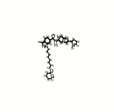 Cc1nn(CCCCCCCCOC2CCCCO2)c2cc(C(=O)Nc3cn4cc([C@H]5CCCN5C)nc4cn3)ccc12